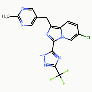 Cc1ncc(Cc2nc(-c3nc(C(F)(F)F)n[nH]3)n3cc(Cl)ccc23)cn1